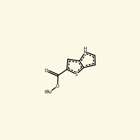 CC(C)(C)OC(=O)c1cc2[nH]ccc2s1